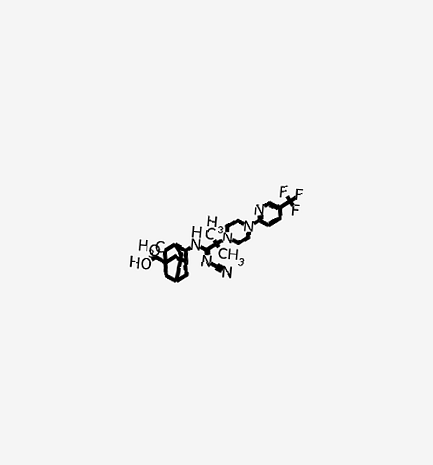 CC1C2CC3CC(CC1(C(=O)O)C3)C2NC(=NC#N)C(C)(C)N1CCN(c2ccc(C(F)(F)F)cn2)CC1